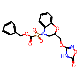 O=C(OCc1ccccc1)S(=O)(=O)N1C[C@H](COc2noc(=O)[nH]2)Oc2ccccc21